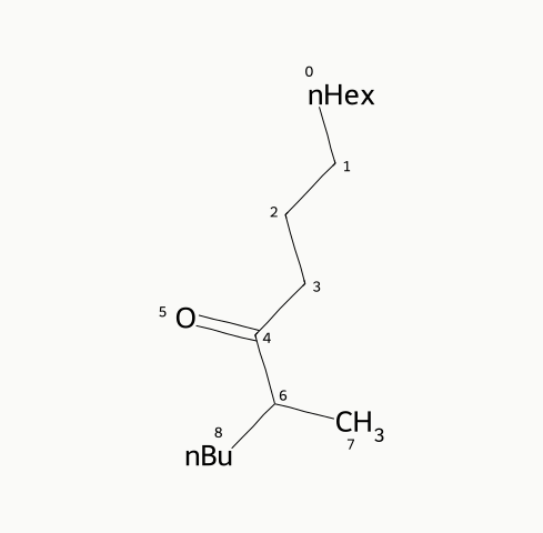 CCCCCCCCCC(=O)C(C)CCCC